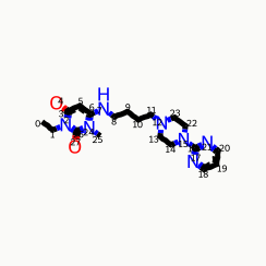 CCn1c(=O)cc(NCCCCN2CCN(c3ncccn3)CC2)n(C)c1=O